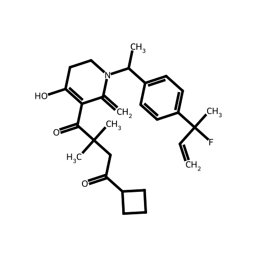 C=CC(C)(F)c1ccc(C(C)N2CCC(O)=C(C(=O)C(C)(C)CC(=O)C3CCC3)C2=C)cc1